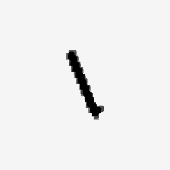 C=C(C)/C=C/CCCCCCCCCCCCCCCCCC